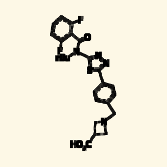 CCCCN(C(=O)c1c(F)cccc1F)c1nnc(-c2ccc(CN3CC(C(=O)O)C3)cc2)s1